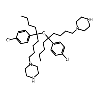 CCCCC(CCCCN1CCNCC1)(OC(CCCC)(CCCCN1CCNCC1)c1ccc(Cl)cc1)c1ccc(Cl)cc1